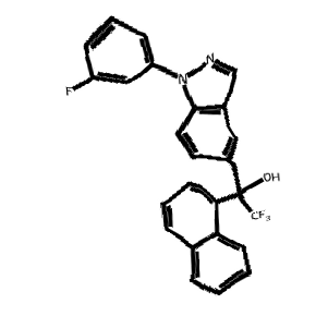 OC(c1ccc2c(cnn2-c2cccc(F)c2)c1)(c1cccc2ccccc12)C(F)(F)F